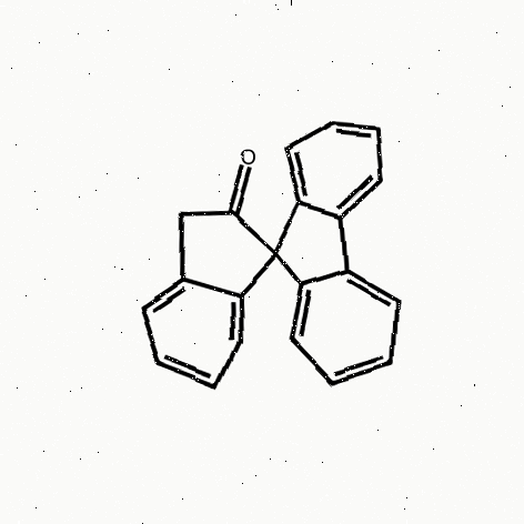 O=C1Cc2ccccc2C12c1ccccc1-c1ccccc12